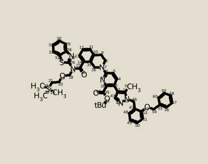 Cc1c(-c2ccc(N3CCc4cccc(C(=O)N(COCC[Si](C)(C)C)c5nc6ccccc6s5)c4C3)nc2C(=O)OC(C)(C)C)cnn1Cc1ccccc1OCc1ccccc1